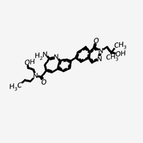 CCCN(CCO)C(=O)C1=Cc2ccc(-c3ccc4c(=O)n(CC(C)(C)O)ncc4c3)cc2N=C(N)C1